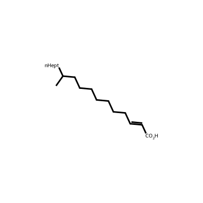 CCCCCCCC(C)CCCCCCCC=CC(=O)O